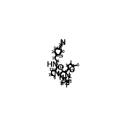 Cc1ccc(-c2cc(N3CCCC3C(=O)NCCc3ccc(C#N)cc3)nc(C(F)(F)F)n2)o1